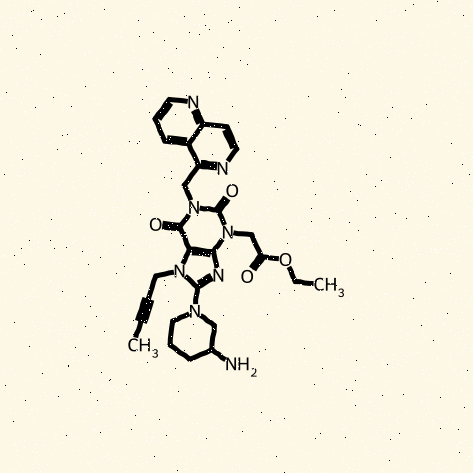 CC#CCn1c(N2CCCC(N)C2)nc2c1c(=O)n(Cc1nccc3ncccc13)c(=O)n2CC(=O)OCC